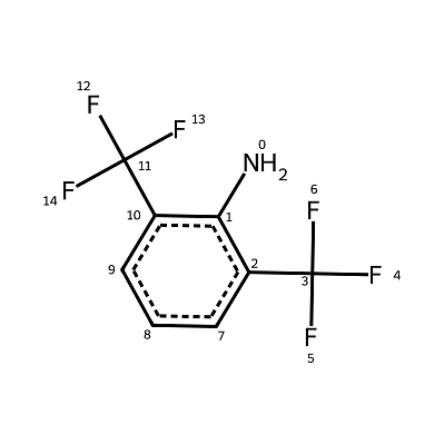 Nc1c(C(F)(F)F)cccc1C(F)(F)F